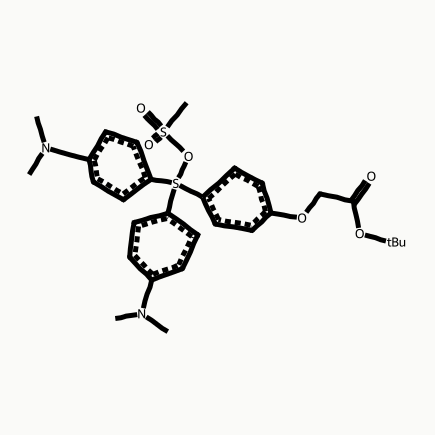 CN(C)c1ccc(S(OS(C)(=O)=O)(c2ccc(OCC(=O)OC(C)(C)C)cc2)c2ccc(N(C)C)cc2)cc1